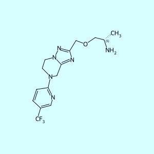 C[C@H](N)COCc1nc2n(n1)CCN(c1ccc(C(F)(F)F)cn1)C2